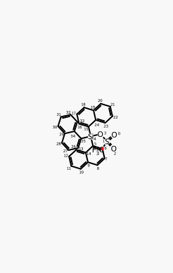 O=S(=O)(O[Si](c1cccc2ccccc12)(c1cccc2ccccc12)c1cccc2ccccc12)C(F)(F)F